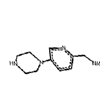 CNCc1ccc(N2CCNCC2)cn1